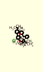 CCC1C=C(C(C)(C)C)C=[C]1[Zr+2](=[C](c1ccccc1)c1ccccc1)[c]1c(C(C)(C)C)ccc2c1Cc1cc(C(C)(C)C)ccc1-2.[Cl-].[Cl-]